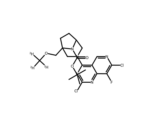 [2H]C([2H])([2H])OCC12CCC(CN(c3nc(Cl)nc4c(F)c(Cl)ncc34)C1)N2C(=O)OC(C)(C)C